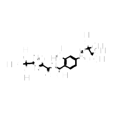 Cc1cc(B2OC(C)(C)C(C)(C)O2)ccc1[C@@H](C)NC(=O)c1nc(C(C)(C)C)no1